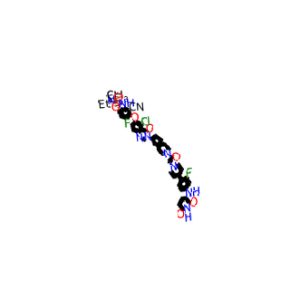 CCN(C)S(=O)(=O)Nc1ccc(F)c(Oc2ccc3ncn([C@H]4CCC5(CCN(C(=O)CN6CCC(c7ccc(NC8CCC(=O)NC8=O)cc7F)CC6)CC5)C4)c(=O)c3c2Cl)c1C#N